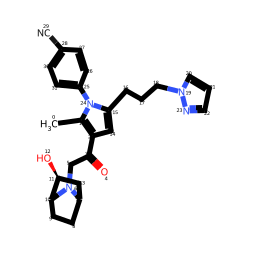 Cc1c(C(=O)CN2C3CCC2[C@@H](O)C3)cc(CCCn2cccn2)n1-c1ccc(C#N)cc1